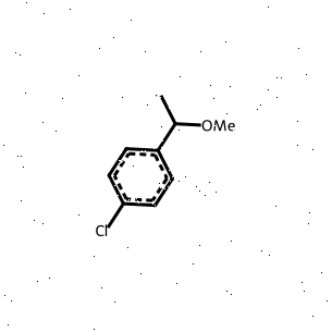 [CH2]C(OC)c1ccc(Cl)cc1